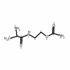 CC(N)C(=O)NCCOC(N)=O